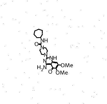 COc1cc2[nH]c(N3CCN(C(=O)NC4CCCCCC4)CC3)nc(N)c-2c(=O)c1OC